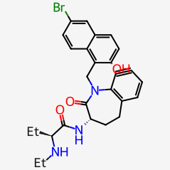 CCN[C@@H](CC)C(=O)N[C@H]1CCc2ccc#cc2N(Cc2c(O)ccc3cc(Br)ccc23)C1=O